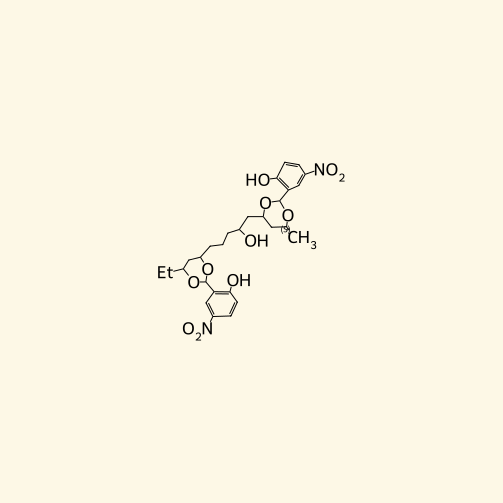 CCC1CC(CCCC(O)CC2C[C@H](C)OC(c3cc([N+](=O)[O-])ccc3O)O2)OC(c2cc([N+](=O)[O-])ccc2O)O1